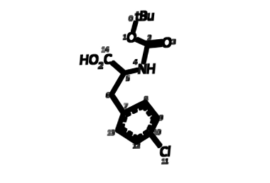 CC(C)(C)OC(=O)NC(Cc1ccc(Cl)cc1)C(=O)O